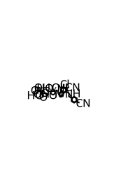 C[C@H](Nc1c(C#N)c(Cl)nc2c1ccn2[C@@H]1O[C@H](COP(=O)(O)CP(=O)(O)O)[C@@H](O)[C@H]1O)c1ccc(C#N)cc1